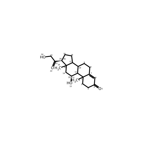 CC12CCC(=O)C=C1CCC1C2[C@@H](O)CC2(C)C1CC[C@@H]2C(=O)CO